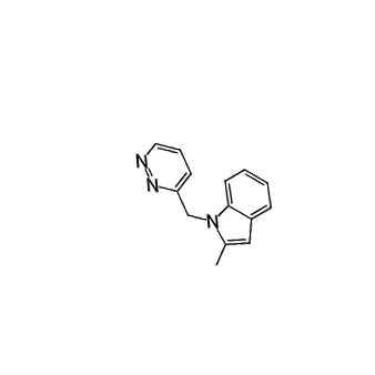 Cc1cc2ccccc2n1Cc1cccnn1